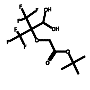 CC(C)(C)OC(=O)COC(C(O)O)(C(F)(F)F)C(F)(F)F